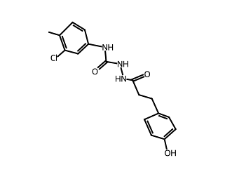 Cc1ccc(NC(=O)NNC(=O)CCc2ccc(O)cc2)cc1Cl